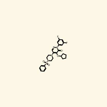 O=c1c(OC2CCCC2)c(N2CCN(S(=O)(=O)c3ccccc3)CC2)cnn1-c1cc(F)cc(F)c1